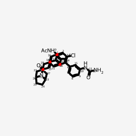 CC(=O)Nc1cc(Cl)c(-c2cccc(NC(N)=O)c2)cc1C=CC(=O)N1C2CCC1CN(Cc1ccc(F)cc1)C2